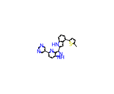 Cc1ccc(-c2cccc3[nH]c(-c4n[nH]c5ccc(-c6cncnc6)nc45)cc23)s1